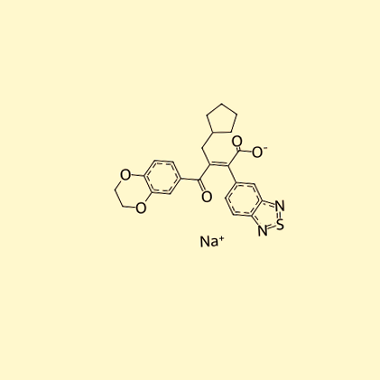 O=C([O-])C(=C(CC1CCCC1)C(=O)c1ccc2c(c1)OCCO2)c1ccc2nsnc2c1.[Na+]